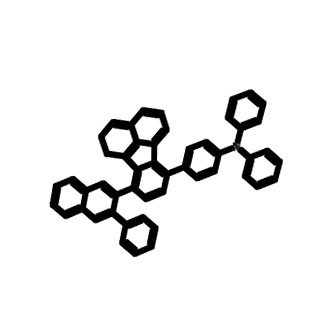 C1=c2cccc3c2=C(CC1)c1c(-c2cc4ccccc4cc2-c2ccccc2)ccc(-c2ccc(N(c4ccccc4)c4ccccc4)cc2)c1-3